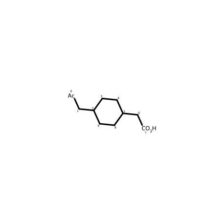 CC(=O)CC1CCC(CC(=O)O)CC1